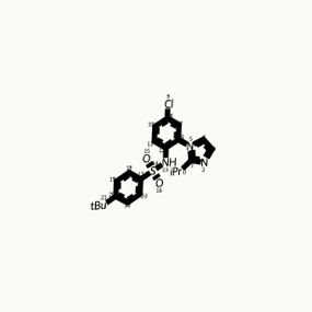 CC(C)c1nccn1-c1cc(Cl)ccc1NS(=O)(=O)c1ccc(C(C)(C)C)cc1